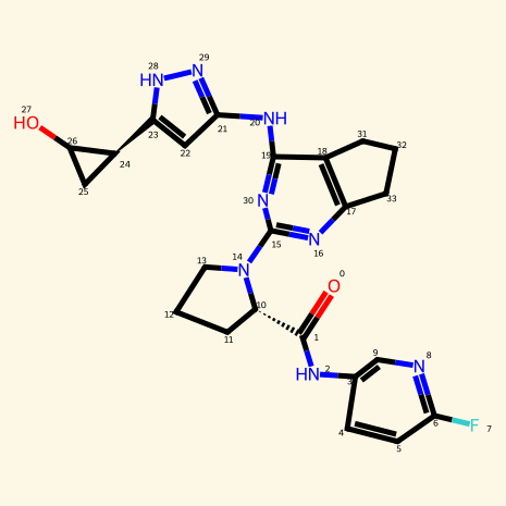 O=C(Nc1ccc(F)nc1)[C@@H]1CCCN1c1nc2c(c(Nc3cc([C@H]4CC4O)[nH]n3)n1)CCC2